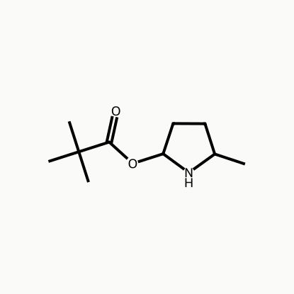 CC1CCC(OC(=O)C(C)(C)C)N1